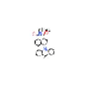 CCCCCCN1C(=O)c2cccc3c(N4c5ccccc5C(C)(C)c5ccccc54)ccc(c23)C1=O